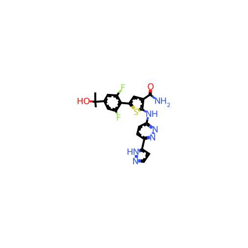 CC(C)(O)c1cc(F)c(-c2cc(C(N)=O)c(Nc3ccc(-c4ccn[nH]4)nn3)s2)c(F)c1